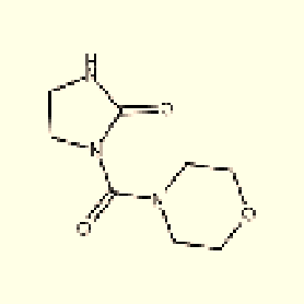 O=C1NCCN1C(=O)N1CCOCC1